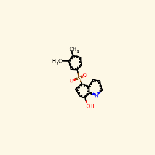 Cc1ccc(S(=O)(=O)c2ccc(O)c3ncccc23)cc1C